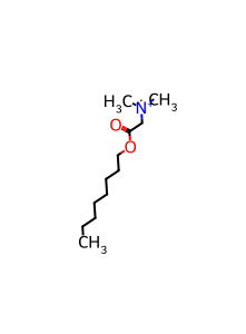 CCCCCCCCOC(=O)C[N+](C)C